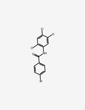 O=C(Nc1cc(Cl)c(Cl)cc1Cl)c1ccc(Br)cc1